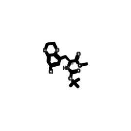 COC(=O)[C@H](Cc1cc(Cl)cc2c1OCCO2)NC(=O)OC(C)(C)C